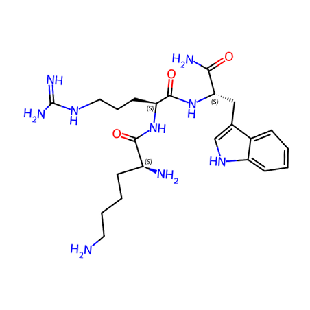 N=C(N)NCCC[C@H](NC(=O)[C@@H](N)CCCCN)C(=O)N[C@@H](Cc1c[nH]c2ccccc12)C(N)=O